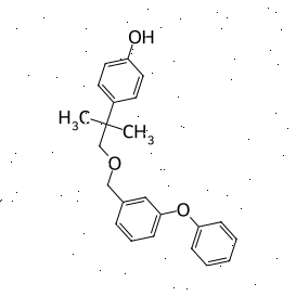 CC(C)(COCc1cccc(Oc2ccccc2)c1)c1ccc(O)cc1